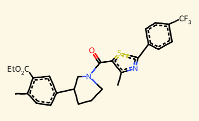 CCOC(=O)c1cc(C2CCCN(C(=O)c3sc(-c4ccc(C(F)(F)F)cc4)nc3C)C2)ccc1C